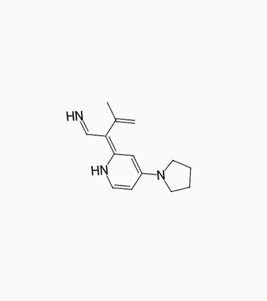 C=C(C)/C(C=N)=C1\C=C(N2CCCC2)C=CN1